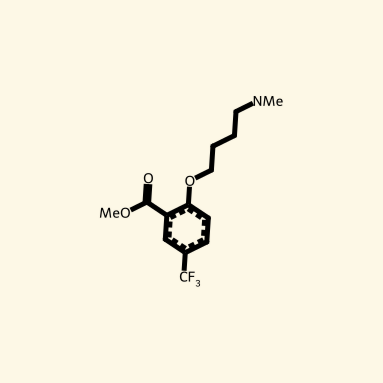 CNCCCCOc1ccc(C(F)(F)F)cc1C(=O)OC